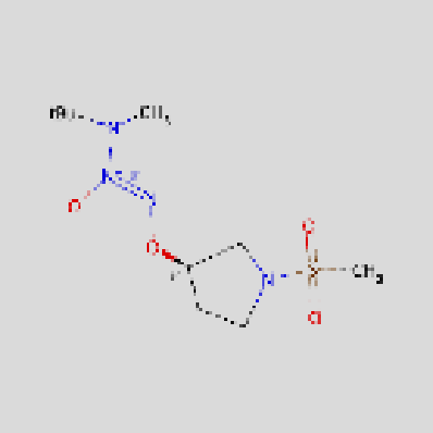 CN(/[N+]([O-])=N/O[C@@H]1CCN(S(C)(=O)=O)C1)C(C)(C)C